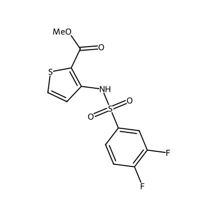 COC(=O)c1sccc1NS(=O)(=O)c1ccc(F)c(F)c1